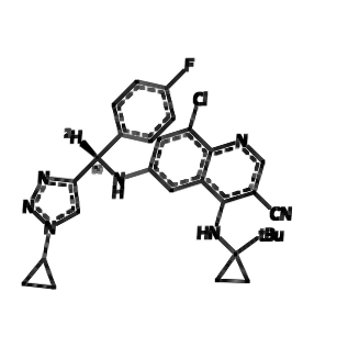 [2H][C@](Nc1cc(Cl)c2ncc(C#N)c(NC3(C(C)(C)C)CC3)c2c1)(c1ccc(F)cc1)c1cn(C2CC2)nn1